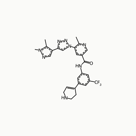 Cc1ncc(C(=O)Nc2cc(C3=CCNCC3)cc(C(F)(F)F)c2)cc1-n1cc(-c2cnn(C)c2C)nn1